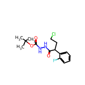 CC(C)(C)OC(=O)NNC(=O)C(CCCl)c1ccccc1F